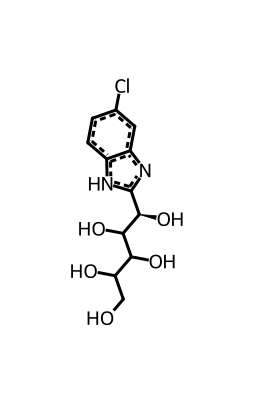 OCC(O)C(O)C(O)[C@H](O)c1nc2cc(Cl)ccc2[nH]1